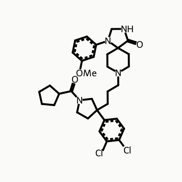 COc1cccc(N2CNC(=O)C23CCN(CCCC2(c4ccc(Cl)c(Cl)c4)CCN(C(=O)C4CCCC4)C2)CC3)c1